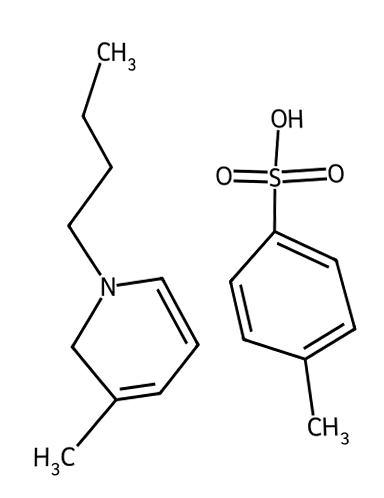 CCCCN1C=CC=C(C)C1.Cc1ccc(S(=O)(=O)O)cc1